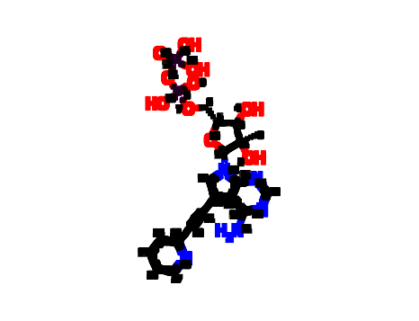 C[C@@]1(O)[C@H](O)[C@@H](COP(=O)(O)OP(=O)(O)O)O[C@H]1n1cc(C#Cc2ccccn2)c2c(N)ncnc21